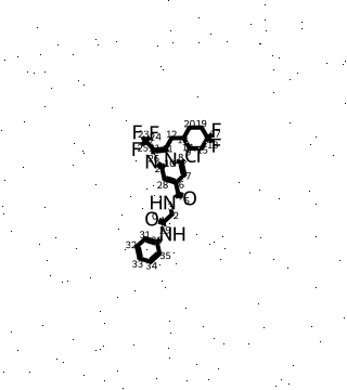 O=C(CNC(=O)c1cc(Cl)n2c(CC3CCC(F)(F)CC3)c(C(F)(F)F)nc2c1)Nc1ccccc1